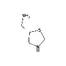 NC[C@H]1CNCS1